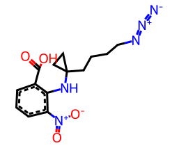 [N-]=[N+]=NCCCCC1(Nc2c(C(=O)O)cccc2[N+](=O)[O-])CC1